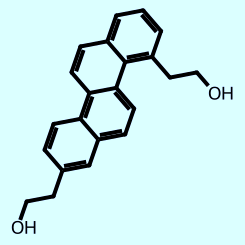 OCCc1ccc2c(ccc3c2ccc2cccc(CCO)c23)c1